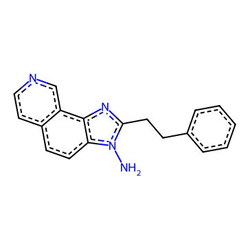 Nn1c(CCc2ccccc2)nc2c3cnccc3ccc21